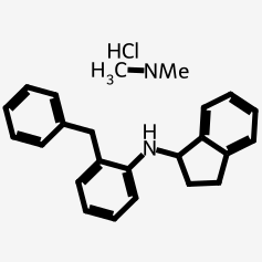 CNC.Cl.c1ccc(Cc2ccccc2NC2CCc3ccccc32)cc1